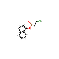 O=S(CCCl)Oc1cccc2ccccc12